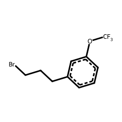 FC(F)(F)Oc1cccc(CCCBr)c1